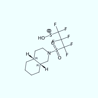 O=S(=O)(O)C(F)(F)C(F)(F)C(F)(F)S(=O)(=O)N1CC[C@H]2CCCC[C@H]2C1